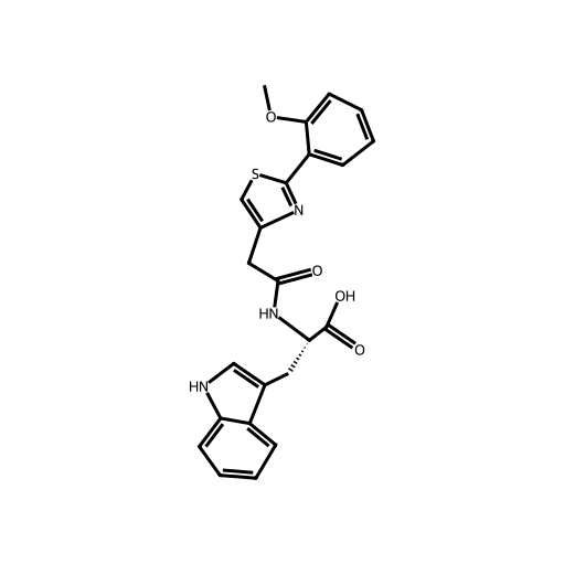 COc1ccccc1-c1nc(CC(=O)N[C@@H](Cc2c[nH]c3ccccc23)C(=O)O)cs1